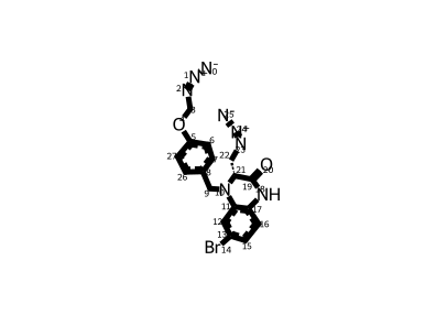 [N-]=[N+]=NCOc1ccc(CN2c3cc(Br)ccc3NC(=O)[C@H]2CN=[N+]=[N-])cc1